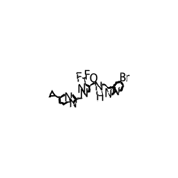 O=C(NCc1ncn2ccc(Br)cc12)c1cn(Cc2cn3cc(C4CC4)ccc3n2)nc1C(F)F